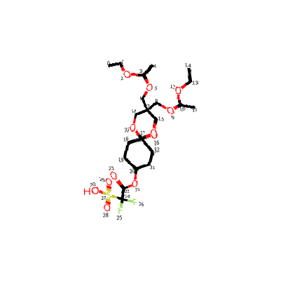 CCOC(C)OCC1(COC(C)OCC)COC2(CCC(OC(=O)C(F)(F)S(=O)(=O)O)CC2)OC1